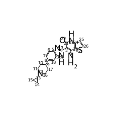 Nc1c(-c2nc3ccc(C4CCN(C5CC5)CC4)cc3[nH]2)c(=O)[nH]c2ccsc12